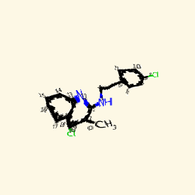 Cc1c(NCc2ccc(Cl)cc2)nc2ccccc2c1Cl